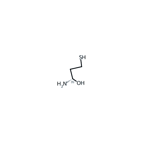 N[C@@H](O)CCS